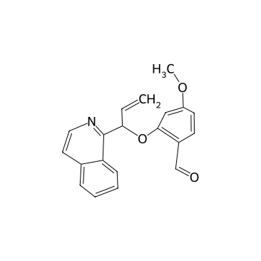 C=CC(Oc1cc(OC)ccc1C=O)c1nccc2ccccc12